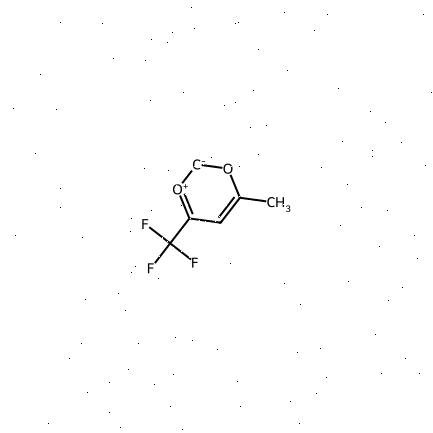 CC1=CC(C(F)(F)F)=[O+][CH-]O1